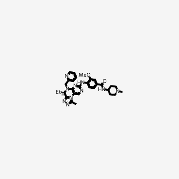 CC[C@@H]1c2nnc(C)n2-c2cnc(Nc3ccc(C(=O)NC4CCN(C)CC4)cc3OC)nc2N1Cc1ccccn1